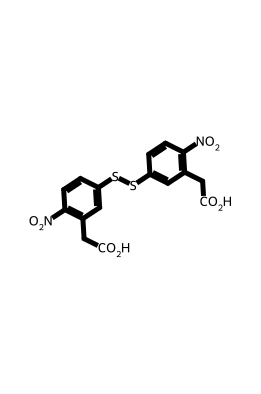 O=C(O)Cc1cc(SSc2ccc([N+](=O)[O-])c(CC(=O)O)c2)ccc1[N+](=O)[O-]